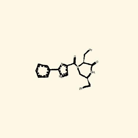 CC(C)C[C@H]1CN(C(=O)c2c[nH]c(-c3ccccc3)n2)[C@@H](CC(C)C)C(=O)N1